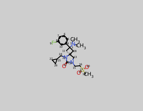 CN(C)[C@]1(c2cccc(F)c2)C[C@@]2(CN(CCS(C)(=O)=O)C(=O)N2CC2CC2)C1